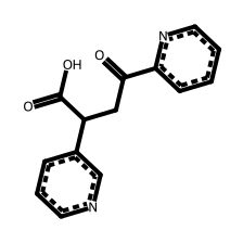 O=C(CC(C(=O)O)c1cccnc1)c1ccccn1